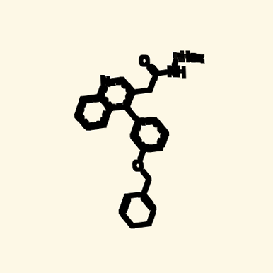 CCCCCCNC(=O)Cc1cnc2ccccc2c1-c1cccc(OCC2=CCCC=C2)c1